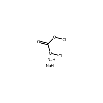 O=C(OCl)OCl.[NaH].[NaH]